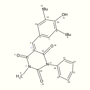 CN1C(=O)/C(=C/c2cc(C(C)(C)C)c(O)c(C(C)(C)C)c2)C(=O)N(c2ccccc2)C1=O